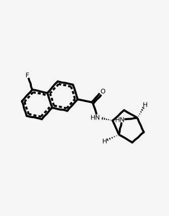 O=C(N[C@@H]1C[C@H]2CC[C@@H]1N2)c1ccc2c(F)cccc2c1